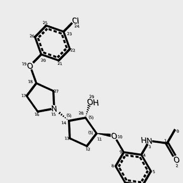 CC(=O)Nc1ccccc1O[C@H]1CC[C@H](N2CCC(Oc3ccc(Cl)cc3)C2)[C@@H]1O